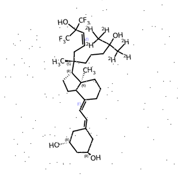 [2H]C([2H])([2H])C(O)(CCC[C@@](C)(C/C=C\C(O)(C(F)(F)F)C(F)(F)F)[C@H]1CCC2/C(=C/C=C3C[C@@H](O)C[C@H](O)C3)CCC[C@@]21C)C([2H])([2H])[2H]